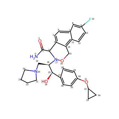 NC(=O)C1c2ccc3cc(F)ccc3c2CON1[C@H](CN1CCCC1)[C@H](O)c1ccc(OC2CC2)cc1